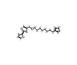 C1=CSC(=C2SC=C(COCCCCCCCCc3ccsc3)S2)S1